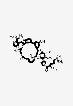 CO[C@@H](C)c1ncccc1-c1oc2ccc3cc2c1CC(C)(C)COC(=O)C[C@@H]1CCCN(N1)C(=O)[C@@H](NC(=O)[C@H](C(C)C)N(C)C(=O)[C@H]1CCN(C(=O)C(C)/C=C/CN(C)C)C1)Cc1cc(O)cc-3c1